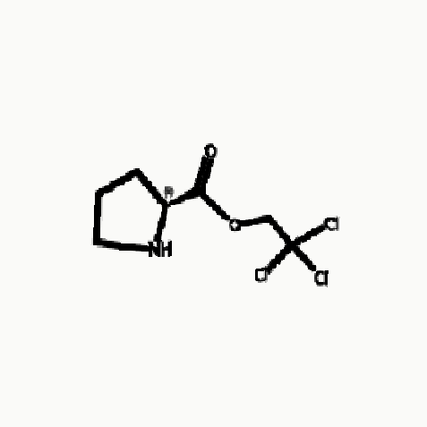 O=C(OCC(Cl)(Cl)Cl)[C@@H]1CCCN1